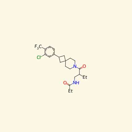 CCC(=O)NCC(CC)C(=O)N1CCC2(CC1)CC(c1ccc(C(F)(F)F)c(Cl)c1)C2